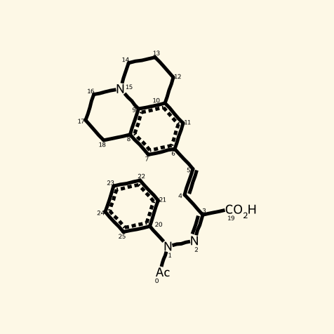 CC(=O)N(/N=C(\C=C\c1cc2c3c(c1)CCCN3CCC2)C(=O)O)c1ccccc1